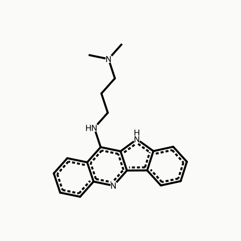 CN(C)CCCNc1c2ccccc2nc2c1[nH]c1ccccc12